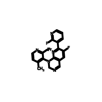 Cc1ccnc(C(C)C)c1N1CN=Cc2cc(F)c(-c3cccnc3F)nc21